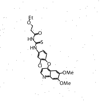 CCOCCC(=O)NC(=S)Nc1ccc(Oc2ccnc3cc(OC)c(OC)cc23)c(Cl)c1